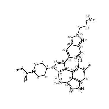 C=CC(=O)N1CCC(n2nc(-c3ccc4nn(CCOC)cc4c3)c(-c3c(Cl)c(C)cc4[nH]nc(N)c34)c2C)CC1